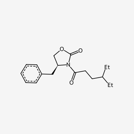 CCC(CC)CCC(=O)N1C(=O)OC[C@@H]1Cc1ccccc1